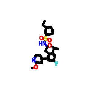 CCc1cccc(S(=O)(=O)NC(=O)Cc2c(-c3ccnc(OC)c3)cc(F)cc2C(C)C)c1